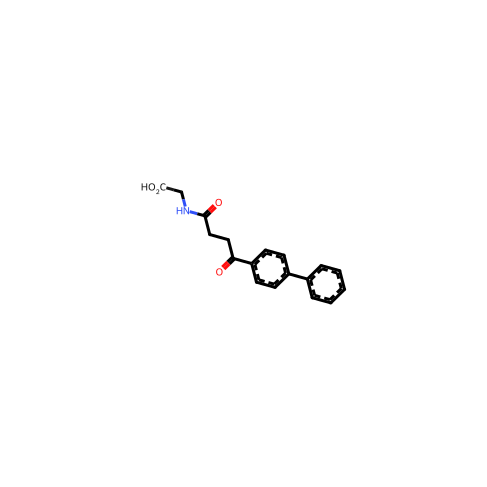 O=C(O)CNC(=O)CCC(=O)c1ccc(-c2ccccc2)cc1